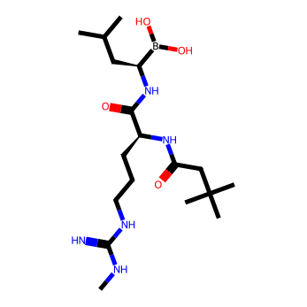 CNC(=N)NCCC[C@H](NC(=O)CC(C)(C)C)C(=O)N[C@@H](CC(C)C)B(O)O